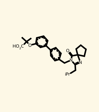 CC(C)CC1=NC2(CCCC2)C(=O)N1Cc1ccc(-c2cccc(OC(C)(C)C(=O)O)c2)cc1